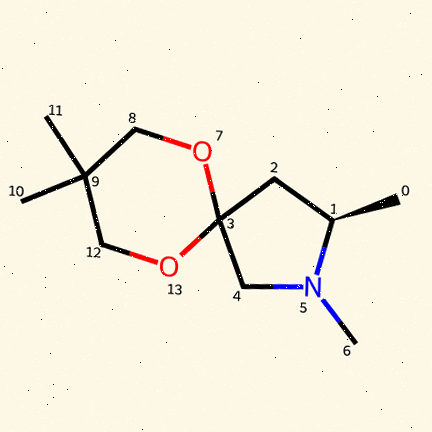 C[C@@H]1CC2(CN1C)OCC(C)(C)CO2